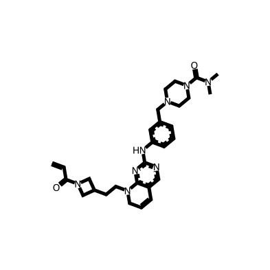 C=CC(=O)N1CC(CCN2CC=Cc3cnc(Nc4cccc(CN5CCN(C(=O)N(C)C)CC5)c4)nc32)C1